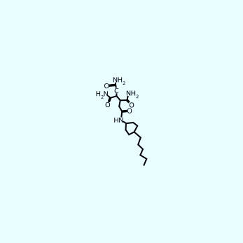 CCCCCCC1CCC(NC(=O)CC(C(N)=O)C(CC(N)=O)C(N)=O)CC1